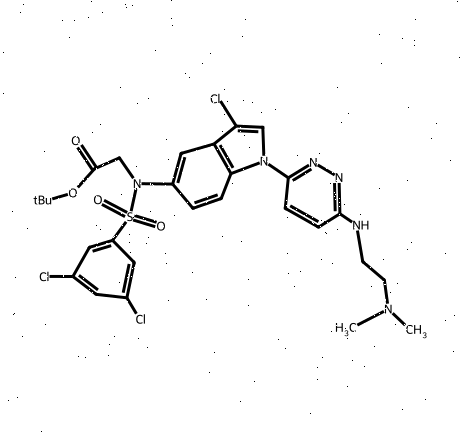 CN(C)CCNc1ccc(-n2cc(Cl)c3cc(N(CC(=O)OC(C)(C)C)S(=O)(=O)c4cc(Cl)cc(Cl)c4)ccc32)nn1